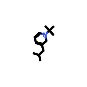 CC(C)CC1=CC=CN(C(C)(C)C)C1